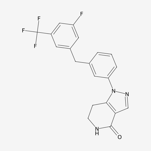 O=C1NCCc2c1cnn2-c1cccc(Cc2cc(F)cc(C(F)(F)F)c2)c1